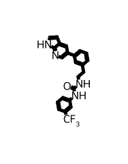 O=C(NCCc1cccc(-c2cnc3[nH]ccc3c2)c1)Nc1cccc(C(F)(F)F)c1